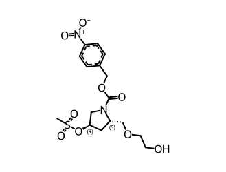 CS(=O)(=O)O[C@@H]1C[C@@H](COCCO)N(C(=O)OCc2ccc([N+](=O)[O-])cc2)C1